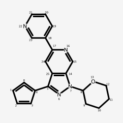 C1=CC=CC=1c1nn(C2CCCCO2)c2cnc(-c3cccnc3)cc12